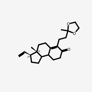 C=C[C@@H]1CCC2C3CCC(=O)C(CCC4(C)OCCO4)=C3CC[C@]21C